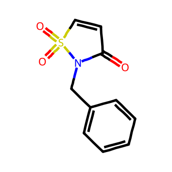 O=C1C=CS(=O)(=O)N1Cc1ccccc1